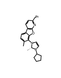 Cc1ccc2c(oc3nc(C(C)C)ccc32)c1N1C=CB(C2CCCC2)[C@@H]1C